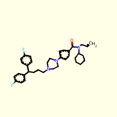 C=CCN(C(=O)c1ccc(N2CCN(CCCC(c3ccc(F)cc3)c3ccc(F)cc3)CC2)cc1)C1CCCCC1